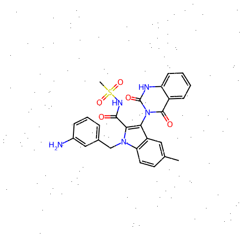 Cc1ccc2c(c1)c(-n1c(=O)[nH]c3ccccc3c1=O)c(C(=O)NS(C)(=O)=O)n2Cc1cccc(N)c1